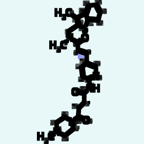 Cc1c(CN(C)C(=O)/C=C/c2ccc(NC(=O)CCC(=O)N3CCN(C)CC3)nc2)sc2ccccc12